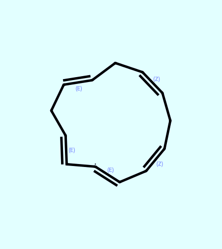 [C]1=C/C=C\C/C=C\C/C=C/C/C=C/1